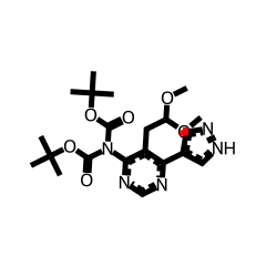 COC(Cc1c(-c2cn[nH]c2)ncnc1N(C(=O)OC(C)(C)C)C(=O)OC(C)(C)C)OC